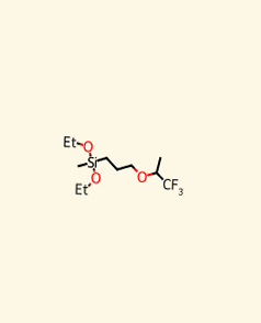 CCO[Si](C)(CCCOC(C)C(F)(F)F)OCC